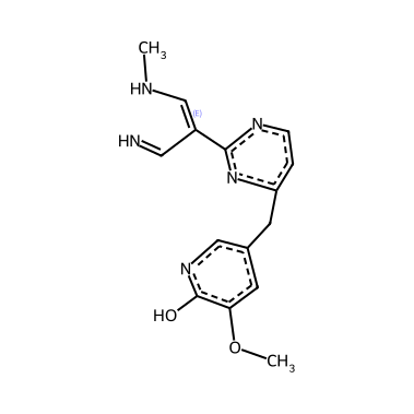 CN/C=C(\C=N)c1nccc(Cc2cnc(O)c(OC)c2)n1